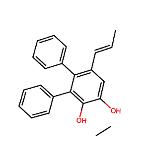 CC.CC=Cc1cc(O)c(O)c(-c2ccccc2)c1-c1ccccc1